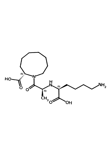 C[C@H](N[C@@H](CCCCN)C(=O)O)C(=O)N1CCCCCCC[C@H]1C(=O)O